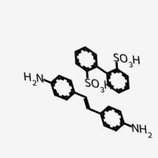 Nc1ccc(C=Cc2ccc(N)cc2)cc1.O=S(=O)(O)c1ccccc1-c1ccccc1S(=O)(=O)O